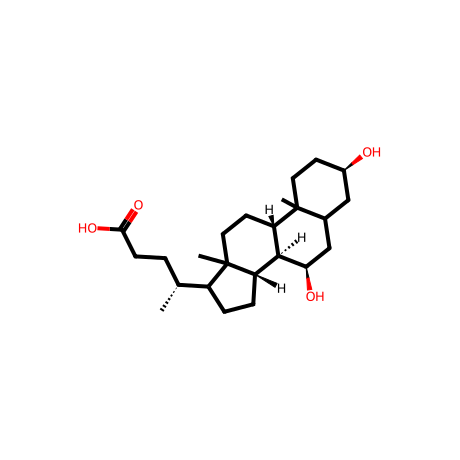 C[C@H](CCC(=O)O)C1CC[C@H]2[C@@H]3[C@H](O)CC4C[C@H](O)CCC4(C)[C@H]3CCC12C